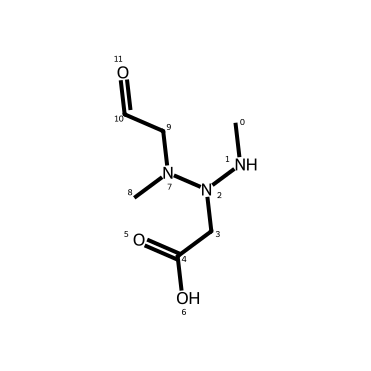 CNN(CC(=O)O)N(C)CC=O